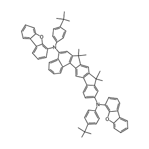 CC(C)(C)c1ccc(N(c2ccc3c(c2)C(C)(C)c2cc4c(cc2-3)-c2c(cc(N(c3ccc(C(C)(C)C)cc3)c3cccc5c3oc3ccccc35)c3ccccc23)C4(C)C)c2cccc3c2oc2ccccc23)cc1